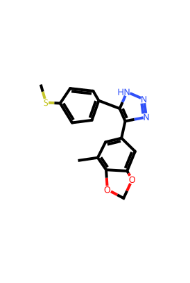 CSc1ccc(-c2[nH]nnc2-c2cc(C)c3c(c2)OCO3)cc1